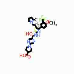 COc1ccc(-c2nc(NC(O)c3cnc(N4CCC(C(=O)O)CC4)cn3)sc2CCN2CCCC2C)cc1C(F)(F)F